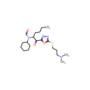 CCCCC(C(=O)c1nnc(SCCCN(C)C)o1)N(C=O)C1CCCCC1